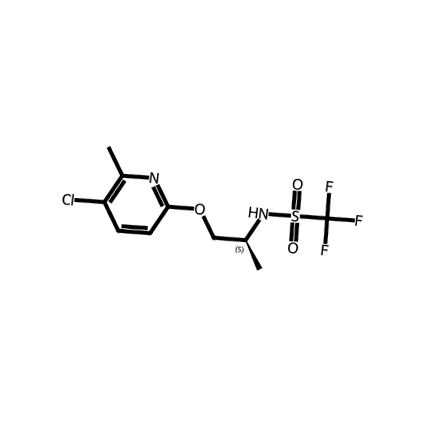 Cc1nc(OC[C@H](C)NS(=O)(=O)C(F)(F)F)ccc1Cl